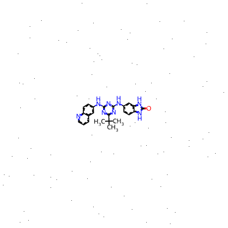 CC(C)(C)c1nc(Nc2ccc3ncccc3c2)nc(Nc2ccc3[nH]c(=O)[nH]c3c2)n1